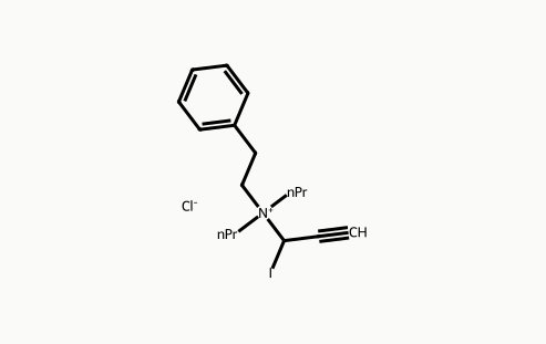 C#CC(I)[N+](CCC)(CCC)CCc1ccccc1.[Cl-]